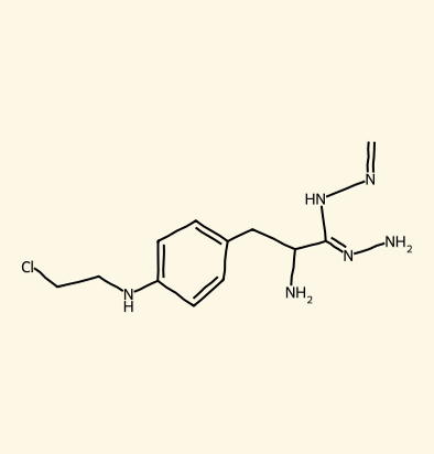 C=NN/C(=N\N)C(N)Cc1ccc(NCCCl)cc1